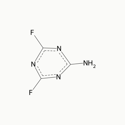 Nc1nc(F)nc(F)n1